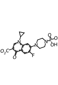 COP(=O)(O)N1CCN(c2cc3c(cc2F)c(=O)c(C(=O)O)cn3C2CC2)CC1